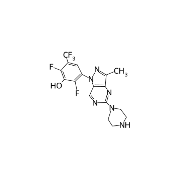 Cc1nn(-c2cc(C(F)(F)F)c(F)c(O)c2F)c2cnc(N3CCNCC3)nc12